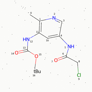 Cc1ncc(NC(=O)CCl)cc1NC(=O)OC(C)(C)C